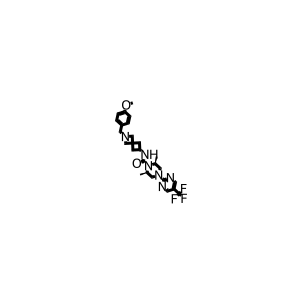 COc1ccc(CN2CC3(CC(NC(=O)N4[C@H](C)CN(c5ncc(C(F)(F)F)cn5)C[C@@H]4C)C3)C2)cc1